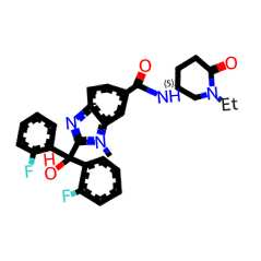 CCN1C[C@@H](NC(=O)c2ccc3nc(C(O)(c4ccccc4F)c4ccccc4F)n(C)c3c2)CCC1=O